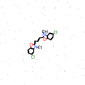 CCN1C(=CC=Cc2oc3ccc(Cl)cc3[n+]2C)Oc2ccc(Cl)cc21